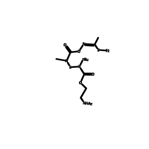 CCCCN(SN(C)C(=O)ON=C(C)SCC)C(=O)OCCNC(C)=O